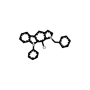 Clc1c2c(ccn2Cc2ccccc2)cc2c3ccccc3n(-c3ccccc3)c12